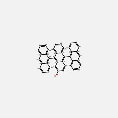 Brc1ccc2c(-c3c4ccccc4cc4ccccc34)c3ccccc3c(-c3c4ccccc4cc4ccccc34)c2c1